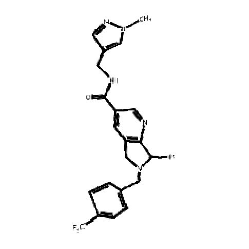 CC(C)C1c2ncc(C(=O)NCc3cnn(C)c3)cc2CN1Cc1ccc(C(F)(F)F)cc1